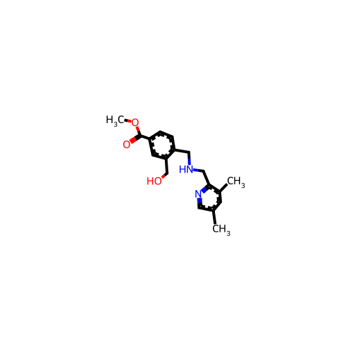 COC(=O)c1ccc(CNCc2ncc(C)cc2C)c(CO)c1